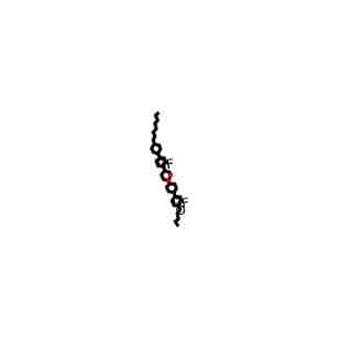 CCCCCCCCC1CCC(c2ccc(C3CCC(C4CCC(c5ccc(OCCCC)c(F)c5)CC4)CC3)c(F)c2)CC1